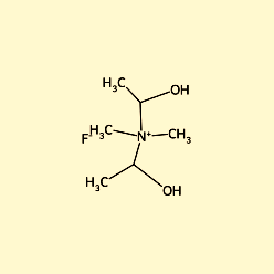 CC(O)[N+](C)(C)C(C)O.[F-]